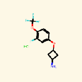 Cl.NC1CC(Oc2ccc(OC(F)(F)F)c(F)c2)C1